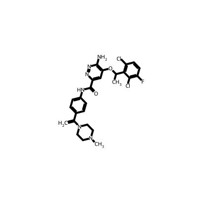 C=C(c1ccc(NC(=O)c2cc(OC(C)c3c(Cl)ccc(F)c3Cl)c(N)nn2)cc1)N1CCN(C)CC1